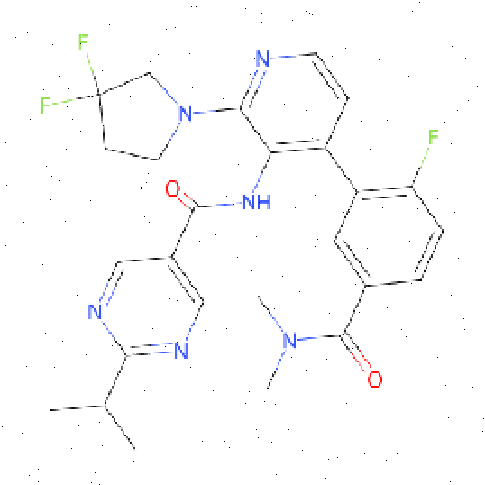 CC(C)c1ncc(C(=O)Nc2c(-c3cc(C(=O)N(C)C)ccc3F)ccnc2N2CCC(F)(F)C2)cn1